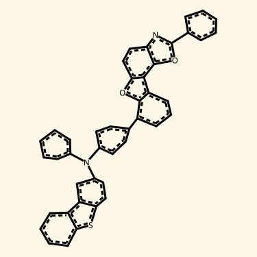 c1ccc(-c2nc3ccc4oc5c(-c6ccc(N(c7ccccc7)c7ccc8sc9ccccc9c8c7)cc6)cccc5c4c3o2)cc1